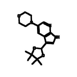 CC1(C)OC(c2c[nH]c3ncc(N4CCOCC4)cc23)OC1(C)C